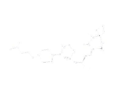 CN(C)CCCN1CCN(c2cc(N/C(C=O)=C/C=C3/C(=O)NC4(CCC4)N(C)N3C)ncn2)CC1